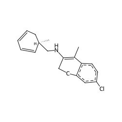 CC1=C(NC[C@@]2(C)C=CC=CC2)CCc2cc(Cl)ccc21